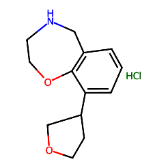 Cl.c1cc2c(c(C3CCOC3)c1)OCCNC2